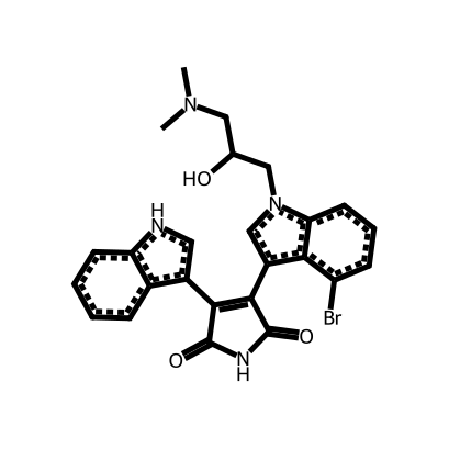 CN(C)CC(O)Cn1cc(C2=C(c3c[nH]c4ccccc34)C(=O)NC2=O)c2c(Br)cccc21